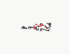 CC(C)(COC(Cc1cccc(CN)c1)Nc1nnc(CCCCc2ccc(NC(=O)C(O)c3cccc(Cl)c3)nn2)s1)OC(=O)NCc1cccc(CC(=O)Nc2nnc(CCCCc3ccc(NC(=O)C(O)c4cccc(Cl)c4)nn3)s2)c1